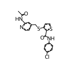 CC(=O)Nc1cc(CSc2ccsc2C(=O)Nc2ccc(Cl)cc2)ccn1